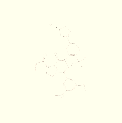 COc1cc(OC)cc(-c2nn(-c3cc(N4CC[C@H](O)C4)ccc3C(F)(F)F)c(=O)c3c2CCN3C(=O)C(C)=O)c1